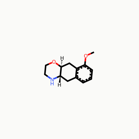 COc1cccc2c1C[C@@H]1OCCN[C@H]1C2